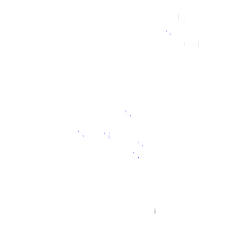 Cc1cccc(/C=N/Nc2nc(OCCOC(=O)N(C)C)cc(N3CCOCC3)n2)c1